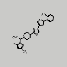 CC(=O)c1ccccc1C1CC(c2csc(C3CCN(C(C=O)n4nc(C(F)(F)F)cc4C)CC3)n2)=NO1